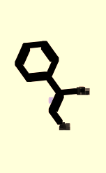 CC(=O)/C=C(/c1ccccc1)C(C)(C)C